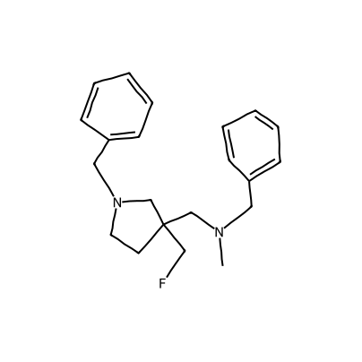 CN(Cc1ccccc1)CC1(CF)CCN(Cc2ccccc2)C1